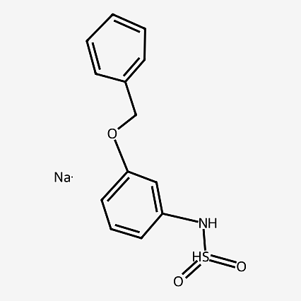 O=[SH](=O)Nc1cccc(OCc2ccccc2)c1.[Na]